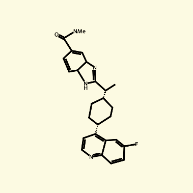 CNC(=O)C1=CC2N=C(C(C)[C@H]3CC[C@@H](c4ccnc5ccc(F)cc54)CC3)NC2C=C1